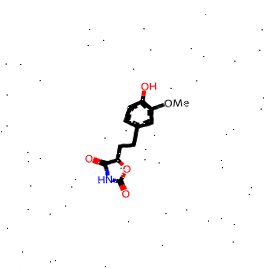 COc1cc(CCC2OC(=O)NC2=O)ccc1O